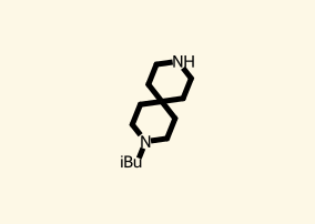 CCC(C)N1CCC2(CCNCC2)CC1